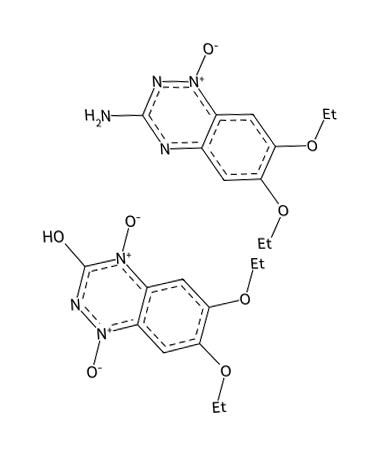 CCOc1cc2c(cc1OCC)[n+]([O-])c(O)n[n+]2[O-].CCOc1cc2nc(N)n[n+]([O-])c2cc1OCC